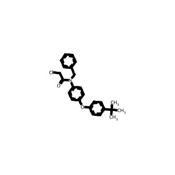 CC(C)(C)c1ccc(Oc2ccc(N(Cc3ccccc3)C(=O)CCl)cc2)cc1